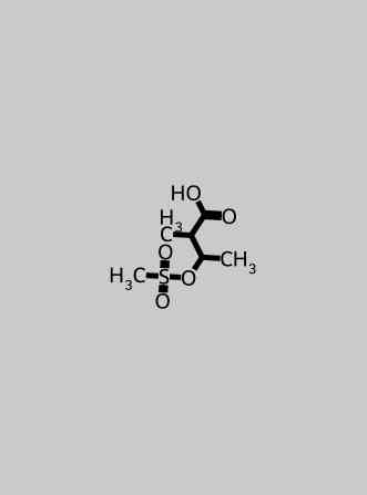 CC(OS(C)(=O)=O)C(C)C(=O)O